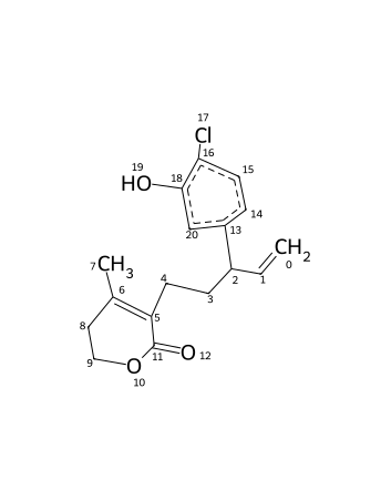 C=CC(CCC1=C(C)CCOC1=O)c1ccc(Cl)c(O)c1